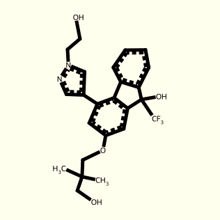 CC(C)(CO)COc1cc(-c2cnn(CCO)c2)c2c(c1)C(O)(C(F)(F)F)c1ccccc1-2